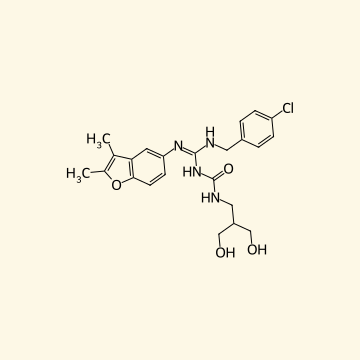 Cc1oc2ccc(/N=C(/NCc3ccc(Cl)cc3)NC(=O)NCC(CO)CO)cc2c1C